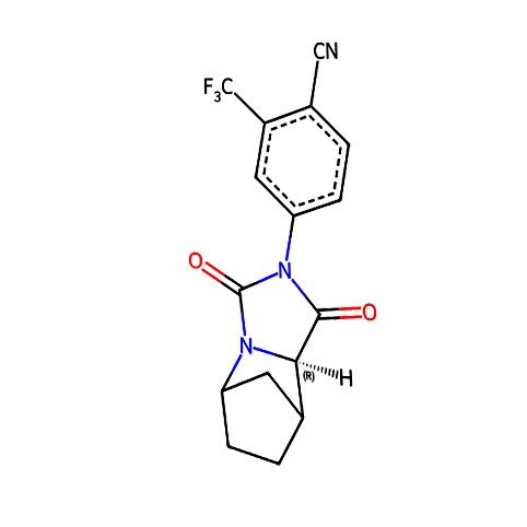 N#Cc1ccc(N2C(=O)[C@H]3C4CCC(C4)N3C2=O)cc1C(F)(F)F